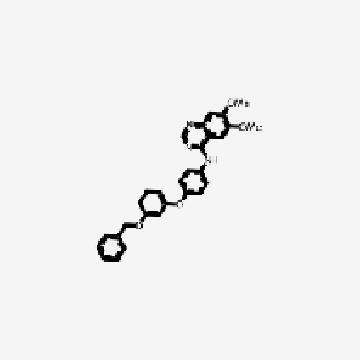 COc1cc2ncnc(Nc3ccc(OC4=CCCC(OCc5ccccc5)=C4)cc3)c2cc1OC